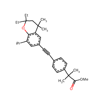 CCC1(CC)CC(C)(C)c2cc(C#Cc3ccc(C(C)(C)C(=O)OC)cc3)cc(C(C)C)c2O1